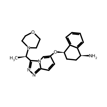 C[C@H](c1nnc2ccc(O[C@@H]3CC[C@H](N)c4ccccc43)cn12)N1CCOCC1